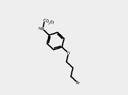 CCOC(=O)Nc1ccc(OCCCBr)cc1